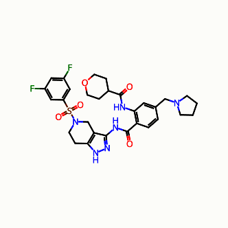 O=C(Nc1n[nH]c2c1CN(S(=O)(=O)c1cc(F)cc(F)c1)CC2)c1ccc(CN2CCCC2)cc1NC(=O)C1CCOCC1